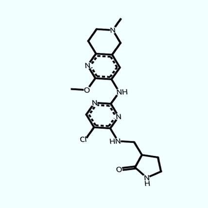 COc1nc2c(cc1Nc1ncc(Cl)c(NCC3CCNC3=O)n1)CN(C)CC2